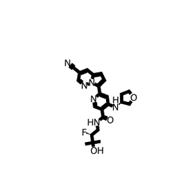 CC(C)(O)[C@H](F)CNC(=O)c1cnc(-c2ccc3cc(C#N)cnn23)cc1N[C@@H]1CCOC1